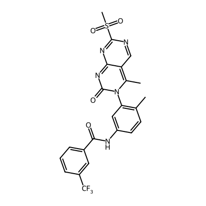 Cc1ccc(NC(=O)c2cccc(C(F)(F)F)c2)cc1-n1c(C)c2cnc(S(C)(=O)=O)nc2nc1=O